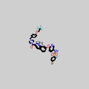 Cn1c(C(=O)N2CCN(Cc3ccc(OCC(F)(F)F)cc3)CC2)cc2ccc(Oc3ccc(NS(=O)(=O)c4ccc(Br)cc4F)cn3)cc21